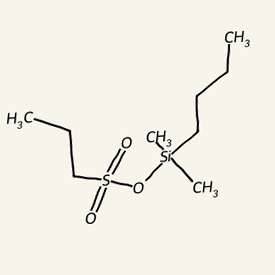 CCCC[Si](C)(C)OS(=O)(=O)CCC